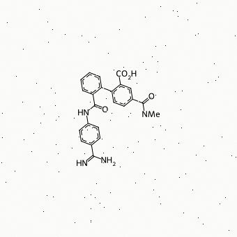 CNC(=O)c1ccc(-c2ccccc2C(=O)Nc2ccc(C(=N)N)cc2)c(C(=O)O)c1